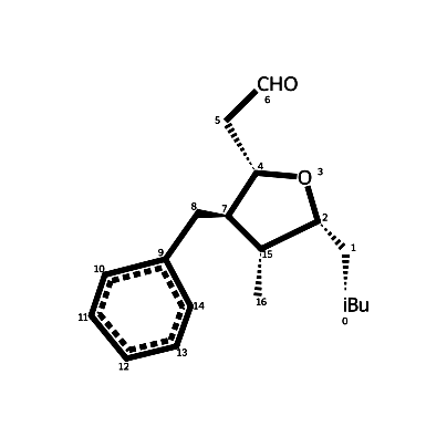 CC[C@@H](C)C[C@H]1O[C@@H](CC=O)[C@H](Cc2ccccc2)[C@H]1C